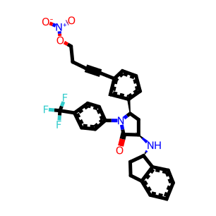 O=C1[C@H](N[C@H]2CCc3ccccc32)C[C@H](c2cccc(C#CCCO[N+](=O)[O-])c2)N1c1ccc(C(F)(F)F)cc1